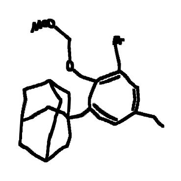 COCOc1c(Br)cc(C)cc1C12CC3CC(CC(C3)C1)C2